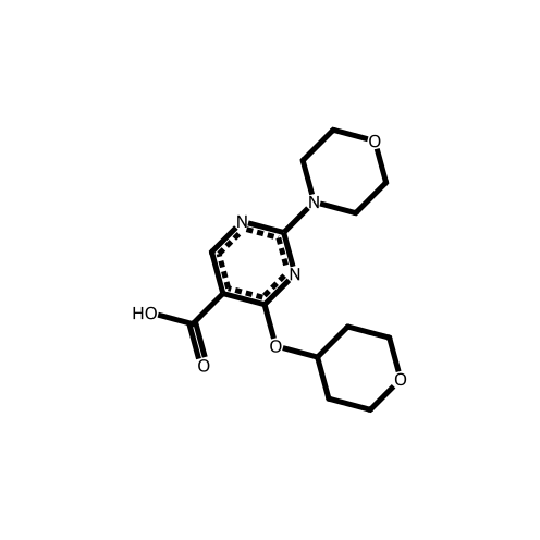 O=C(O)c1cnc(N2CCOCC2)nc1OC1CCOCC1